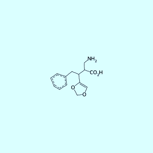 NCC(C(=O)O)C(Cc1ccccc1)C1=COCO1